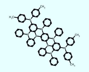 Cc1ccc(N(c2ccc(C)cc2)c2cc3c4c(c2)N(c2ccccc2)c2cc5c(cc2B4c2ccccc2N3c2ccccc2)B2c3ccccc3N(c3ccccc3)c3cc(N(c4ccc(C)cc4)c4ccc(C)cc4)cc(c32)N5c2ccccc2)cc1